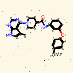 COc1ccc(Oc2cccc(NC(=O)C3CCN(c4ncnc5[nH]cc(C)c45)CC3)c2)cc1